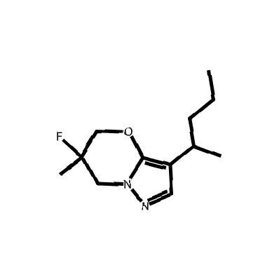 CCCC(C)c1cnn2c1OCC(C)(F)C2